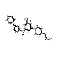 COCC1CCN(c2cc(C)cc(Nc3ncn(-c4ccncn4)n3)c2)CC1